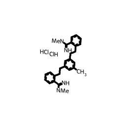 CNC(=N)c1ccccc1CCc1cc(C)cc(CCc2ccccc2C(=N)NC)c1.Cl.Cl